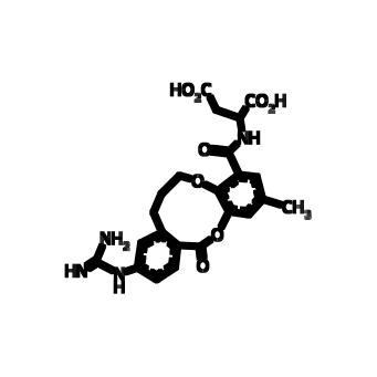 Cc1cc2c(c(C(=O)NC(CC(=O)O)C(=O)O)c1)OCCCc1cc(NC(=N)N)ccc1C(=O)O2